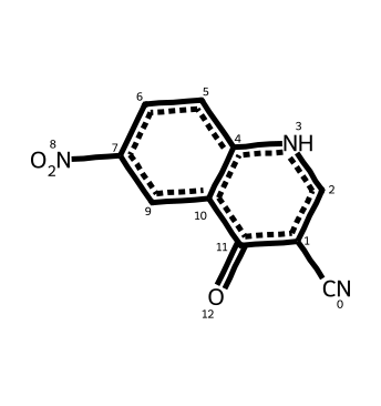 N#Cc1c[nH]c2ccc([N+](=O)[O-])cc2c1=O